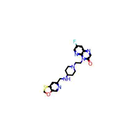 O=c1cnc2cc(F)cnc2n1CCN1CCC(NCc2cc3c(cn2)OCS3)CC1